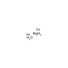 O.[Ce].[Fe].[MgH2]